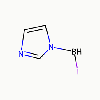 IBn1ccnc1